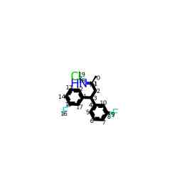 C[C@@H](CC(c1cccc(F)c1)c1cccc(F)c1)NCl